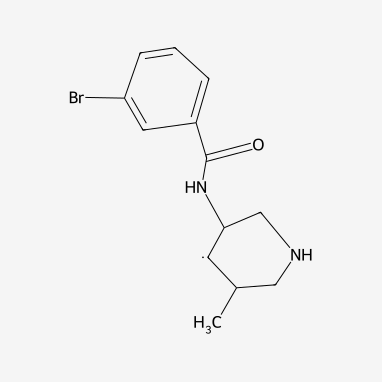 CC1[CH]C(NC(=O)c2cccc(Br)c2)CNC1